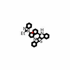 CCc1nc2ccccc2n1-c1ccc(N2c3ccccc3C3SC4=C(C(c5ccccc5)Nc5ccccc54)C32)cc1